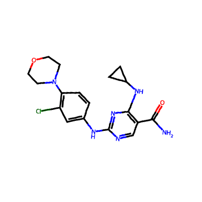 NC(=O)c1cnc(Nc2ccc(N3CCOCC3)c(Cl)c2)nc1NC1CC1